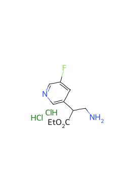 CCOC(=O)C(CN)c1cncc(F)c1.Cl.Cl